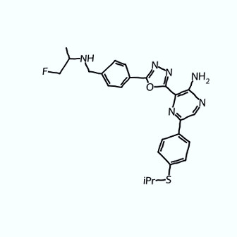 CC(CF)NCc1ccc(-c2nnc(-c3nc(-c4ccc(SC(C)C)cc4)cnc3N)o2)cc1